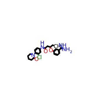 CCC(CC(=O)Nc1ccc(N2CCCCC2=O)c(Cl)c1)Oc1cccc(C(=N)N)c1